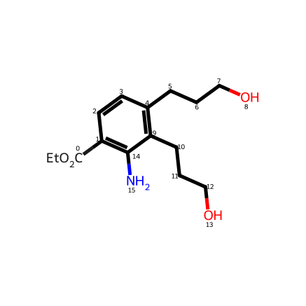 CCOC(=O)c1ccc(CCCO)c(CCCO)c1N